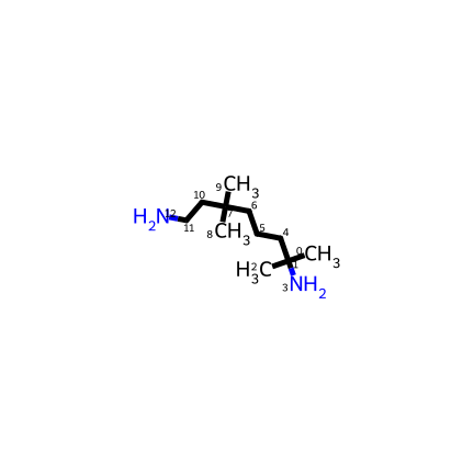 CC(C)(N)CCCC(C)(C)CCN